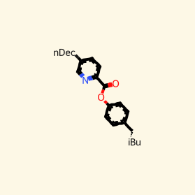 CCCCCCCCCCc1ccc(C(=O)Oc2ccc(C[C@@H](C)CC)cc2)nc1